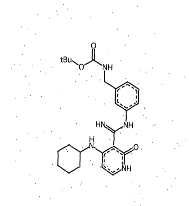 CC(C)(C)OC(=O)NCc1cccc(NC(=N)c2c(NC3CCCCC3)cc[nH]c2=O)c1